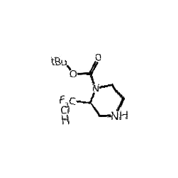 CC(C)(C)OC(=O)N1CCNCC1C(F)(F)F.Cl